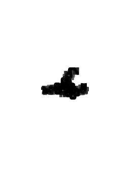 COC(OC1CCC2(C)C(CC(OC(=O)c3ccc(C#N)cc3)C3(C)Oc4cc(-c5cccnc5)oc(=O)c4C(O)C23)C1C)c1ccc(N(C)C)cc1